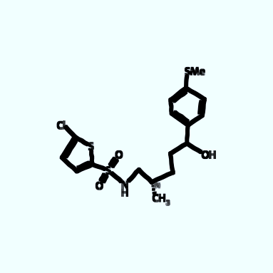 CSc1ccc(C(O)CC[C@H](C)CNS(=O)(=O)c2ccc(Cl)s2)cc1